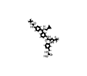 CC(C)(C)OC(=O)Nc1ccc(C(NCC2CC2)c2cccc(NC(=O)c3cc(C(F)(F)F)nn3-c3cccc(CNC(=O)O)c3)c2)cc1